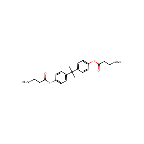 CCCCCCCCCCCCC(=O)Oc1ccc(C(C)(C)c2ccc(OC(=O)CCCCCCCCCCCC)cc2)cc1